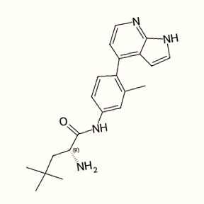 Cc1cc(NC(=O)[C@H](N)CC(C)(C)C)ccc1-c1ccnc2[nH]ccc12